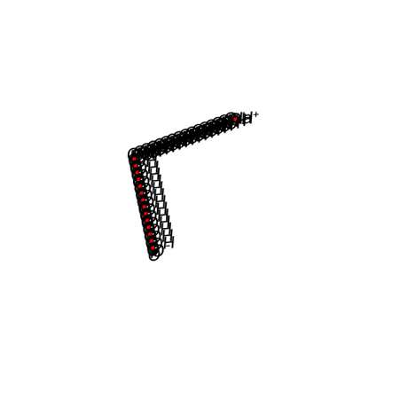 O=P(=O)O.O=P(=O)O.O=P(=O)O.O=P(=O)O.O=P(=O)O.O=P(=O)O.O=P(=O)O.O=P(=O)O.O=P(=O)O.O=P(=O)O.O=P(=O)O.O=P(=O)O.O=P(=O)O.O=P(=O)O.O=P(=O)O.O=P(=O)O.O=P(=O)O.O=P(=O)O.O=P(=O)O.O=P(=O)O.O=P(=O)O.O=P(=O)O.O=P(=O)O.O=P(=O)O.O=P(=O)O.O=P(=O)O.O=P(=O)O.O=P(=O)O.O=P(=O)O.O=P(=O)[O-].[Na+]